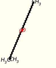 CCCCCCCCC=CCCCCCCCCCCCCCC(=O)OCCCCCCCCCCCCCCCCCCCCCCC(C)C